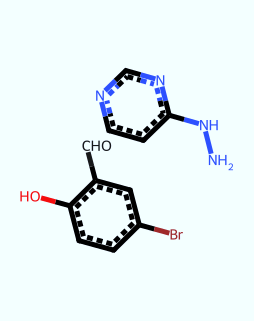 NNc1ccncn1.O=Cc1cc(Br)ccc1O